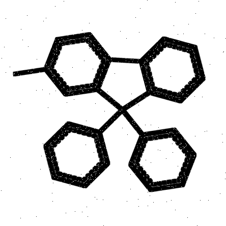 Cc1ccc2c(c1)C(c1ccccc1)(c1ccccc1)c1ccccc1-2